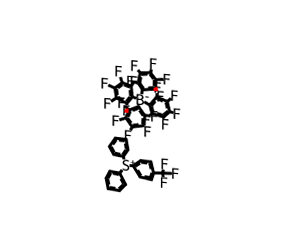 FC(F)(F)c1ccc([S+](c2ccccc2)c2ccccc2)cc1.Fc1c(F)c(F)c([B-](c2c(F)c(F)c(F)c(F)c2F)(c2c(F)c(F)c(F)c(F)c2F)c2c(F)c(F)c(F)c(F)c2F)c(F)c1F